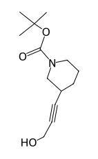 CC(C)(C)OC(=O)N1CCCC(C#CCO)C1